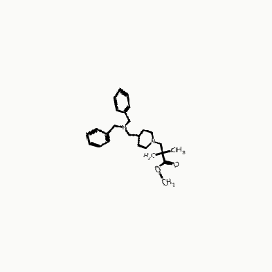 COC(=O)C(C)(C)CN1CCC(CN(Cc2ccccc2)Cc2ccccc2)CC1